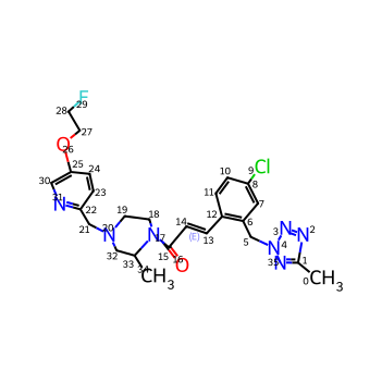 Cc1nnn(Cc2cc(Cl)ccc2/C=C/C(=O)N2CCN(Cc3ccc(OCCF)cn3)CC2C)n1